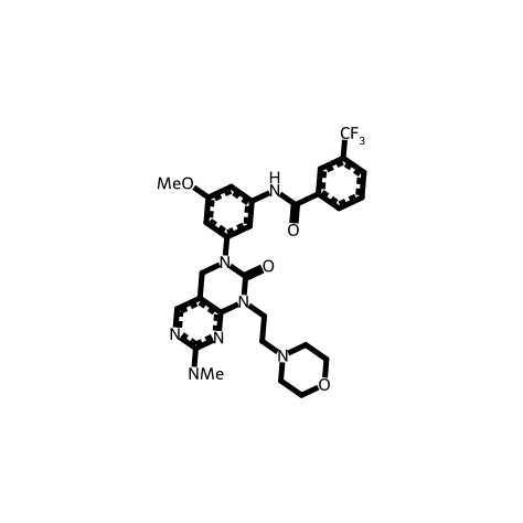 CNc1ncc2c(n1)N(CCN1CCOCC1)C(=O)N(c1cc(NC(=O)c3cccc(C(F)(F)F)c3)cc(OC)c1)C2